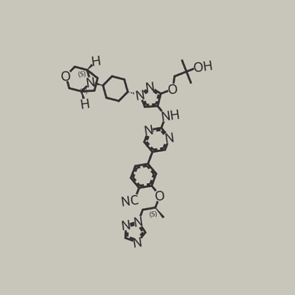 C[C@@H](Cn1cncn1)Oc1cc(-c2cnc(Nc3cn([C@H]4CC[C@H](N5[C@@H]6CC[C@H]5COC6)CC4)nc3OCC(C)(C)O)nc2)ccc1C#N